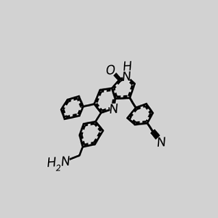 N#Cc1ccc(-c2c[nH]c(=O)c3cc(-c4ccccc4)c(-c4ccc(CN)cc4)nc23)cc1